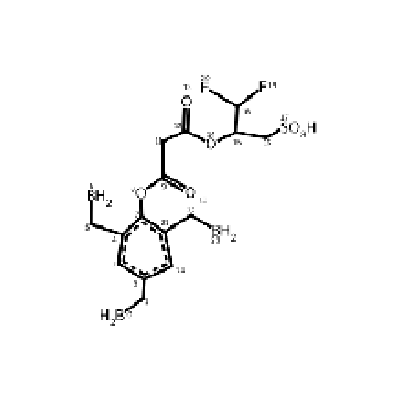 BCc1cc(CB)c(OC(=O)CC(=O)OC(CS(=O)(=O)O)C(F)F)c(CB)c1